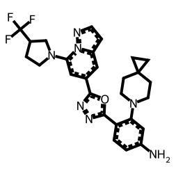 Nc1ccc(-c2nnc(-c3cc(N4CCC(C(F)(F)F)C4)n4nccc4c3)o2)c(N2CCC3(CC2)CC3)c1